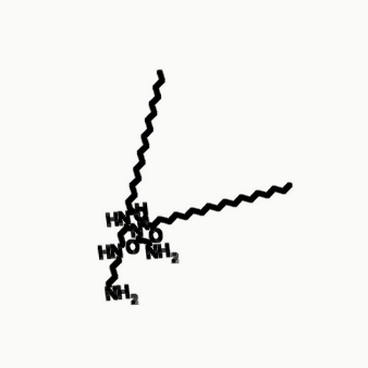 CCCCCCCCCCCCCCCCCC(=O)NC(CCNCCCCN)N(NC(=O)CCCCCCCCCCCCCCCCC)C(=O)CN